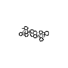 Cc1cccc(N(C2=C3C=Cc4ccc(N(c5ccccc5)c5cccc6c7c(oc56)C=CCC=C7)c5c4C3C(=CC5)C=C2)c2cccc3c2oc2ccccc23)c1